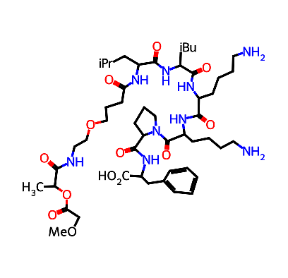 CCC(C)C(NC(=O)C(CC(C)C)NC(=O)CCCOCCNC(=O)C(C)OC(=O)COC)C(=O)NC(CCCCN)C(=O)NC(CCCCN)C(=O)N1CCCC1C(=O)NC(Cc1ccccc1)C(=O)O